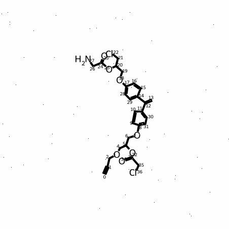 C#CCOCC(COc1ccc(C(=C)c2ccc(OCC(CCl)OC(=O)CN)cc2)cc1)OC(=O)CCl